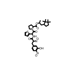 CC(CC1CCC(C)(C)C1(C)C)OC(=O)C1CCCN1C(=O)C(NC(=O)C(Cc1ccc(N=O)c(O)c1)N=O)c1cccs1